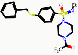 CCN=S(=O)(c1ccc(SCc2ccccc2)cc1)N1CCN(C(=O)C(F)(F)F)CC1